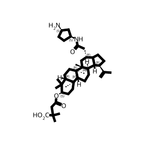 C=C(C)[C@@H]1CCC2[C@@H](CC(=O)N[C@H]3CC[C@H](N)C3)C[C@]3(C)[C@H](CC[C@@H]4[C@@]5(C)CC[C@H](OC(=O)CC(C)(C)C(=O)O)C(C)(C)[C@@H]5CC[C@]43C)[C@H]21